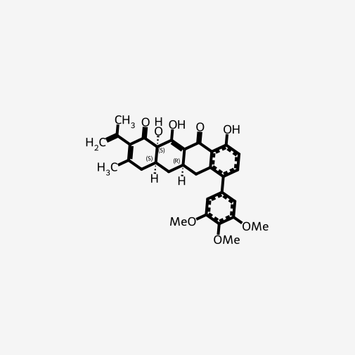 C=C(C)C1=C(C)C[C@@H]2C[C@@H]3Cc4c(-c5cc(OC)c(OC)c(OC)c5)ccc(O)c4C(=O)C3=C(O)[C@]2(O)C1=O